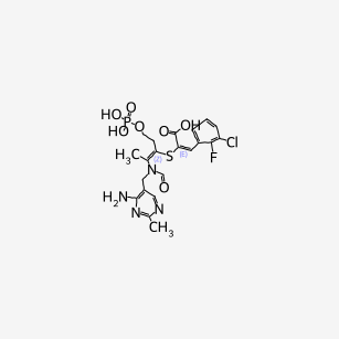 C/C(=C(\CCOP(=O)(O)O)S/C(=C/c1cccc(Cl)c1F)C(=O)O)N(C=O)Cc1cnc(C)nc1N